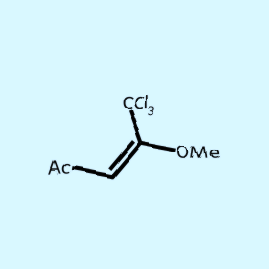 COC(=CC(C)=O)C(Cl)(Cl)Cl